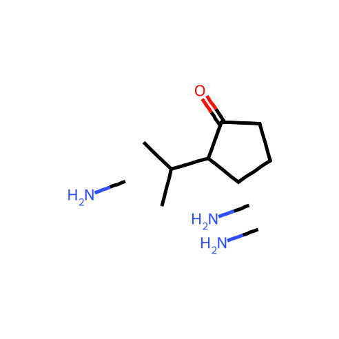 CC(C)C1CCCC1=O.CN.CN.CN